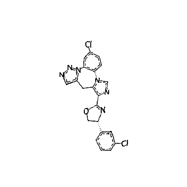 Clc1cccc([C@@H]2COC(c3ncn4c3Cc3cnnn3-c3cc(Cl)ccc3-4)=N2)c1